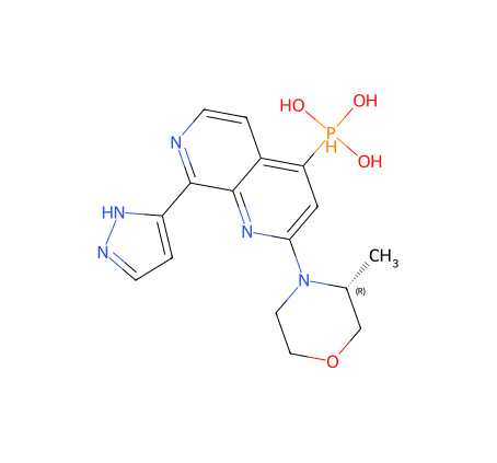 C[C@@H]1COCCN1c1cc([PH](O)(O)O)c2ccnc(-c3ccn[nH]3)c2n1